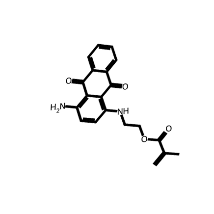 C=C(C)C(=O)OCCNc1ccc(N)c2c1C(=O)c1ccccc1C2=O